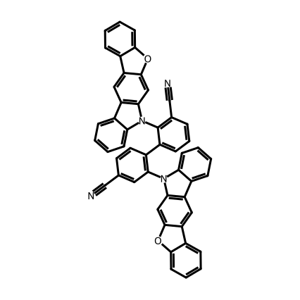 N#Cc1ccc(-c2cccc(C#N)c2-n2c3ccccc3c3cc4c(cc32)oc2ccccc24)c(-n2c3ccccc3c3cc4c(cc32)oc2ccccc24)c1